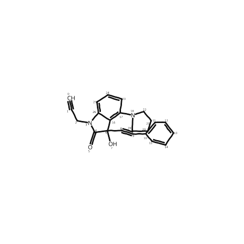 C#CCN1C(=O)C(O)(C#Cc2ccccc2)c2c(N3CCCC3)cccc21